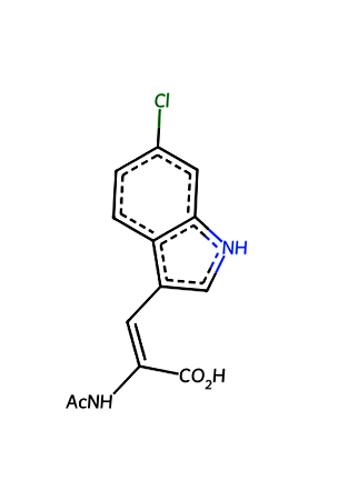 CC(=O)NC(=Cc1c[nH]c2cc(Cl)ccc12)C(=O)O